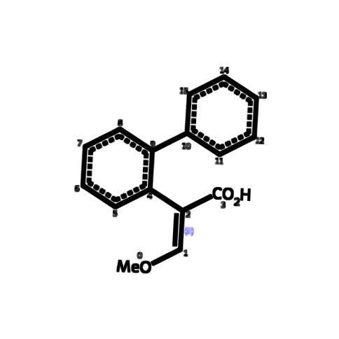 CO/C=C(/C(=O)O)c1ccccc1-c1ccccc1